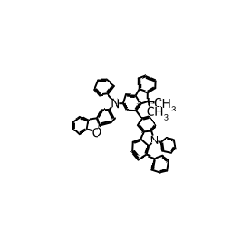 CC1(C)c2ccccc2-c2cc(N(c3ccccc3)c3ccc4oc5ccccc5c4c3)cc(-c3ccc4c(c3)c3cccc(-c5ccccc5)c3n4-c3ccccc3)c21